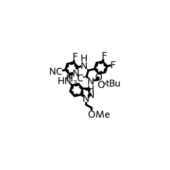 COCCn1ncc2cc(Nc3nc(N[C@H](c4ccc(F)c(F)c4)[C@H](C)NC(=O)OC(C)(C)C)c(F)cc3C#N)ccc21